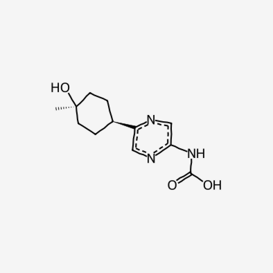 C[C@]1(O)CC[C@@H](c2cnc(NC(=O)O)cn2)CC1